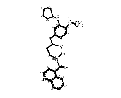 COc1ccc(CC2CCN(C(=O)c3ccnc4ccccc34)CC2)cc1OC1CCCC1